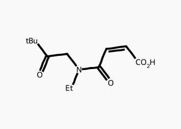 CCN(CC(=O)C(C)(C)C)C(=O)/C=C\C(=O)O